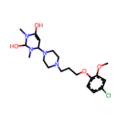 COc1cc(Cl)ccc1OCCCN1CCN(C2C=C(O)N(C)C(O)N2C)CC1